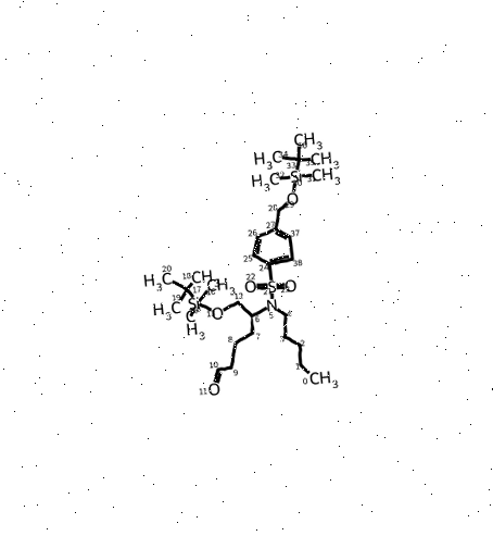 CCCCCN([C@@H](CCCC=O)CO[Si](C)(C)C(C)(C)C)S(=O)(=O)c1ccc(CO[Si](C)(C)C(C)(C)C)cc1